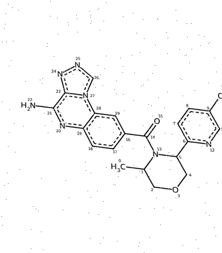 CC1COCC(c2ccc(C(F)(F)F)cn2)N1C(=O)c1ccc2nc(N)c3nncn3c2c1